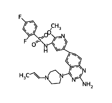 CC=CN1CCN(c2nc(N)nc3ccc(-c4cnc(OC)c(NS(=O)(=O)c5ccc(F)cc5F)c4)cc23)CC1